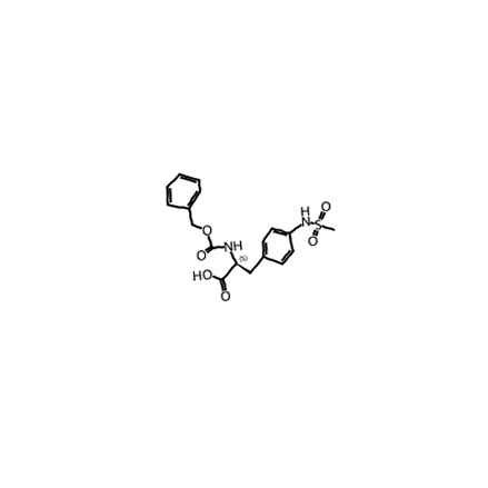 CS(=O)(=O)Nc1ccc(C[C@H](NC(=O)OCc2ccccc2)C(=O)O)cc1